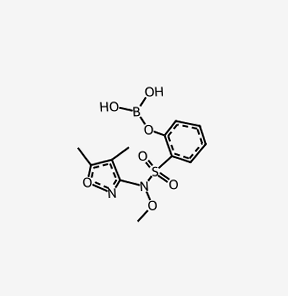 CON(c1noc(C)c1C)S(=O)(=O)c1ccccc1OB(O)O